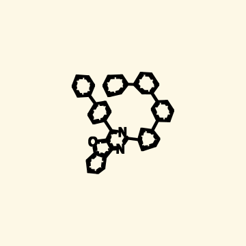 c1ccc(-c2ccc(-c3nc(-c4cccc(-c5cccc(-c6cccc(-c7ccccc7)c6)c5)c4)nc4c3oc3ccccc34)cc2)cc1